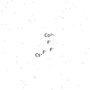 [Co+2].[Cs+].[F-].[F-].[F-]